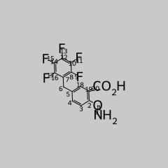 NOc1ccc(Cc2c(F)c(F)c(F)c(F)c2F)cc1C(=O)O